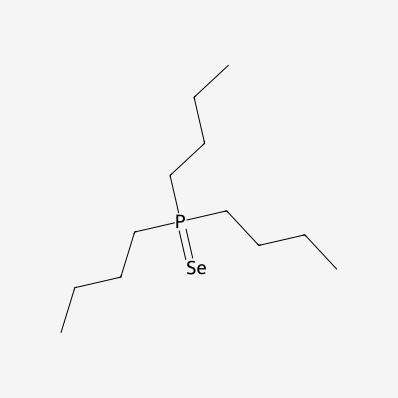 CCCCP(=[Se])(CCCC)CCCC